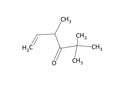 C=CC(C)C(=O)C(C)(C)C